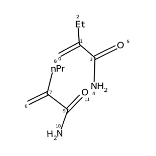 C=C(CC)C(N)=O.C=C(CCC)C(N)=O